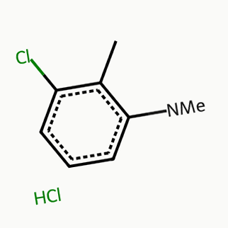 CNc1cccc(Cl)c1C.Cl